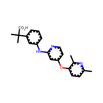 Cc1ccc(Oc2ccnc(Nc3cccc(C(C)(C)C(=O)O)c3)c2)c(C)n1